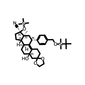 CC(C)(C)[Si](C)(C)OCc1ccc([C@H]2C[C@@]3(C)[C@@H](CC[C@@]3(C#N)O[Si](C)(C)C)[C@@H]3CC[C@@]4(O)CC5(CCC4=C32)OCCO5)cc1